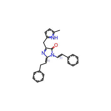 Cc1ccc(CC2=N/C(=C\Cc3ccccc3)N(/C=C/c3ccccc3)C2=O)[nH]1